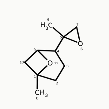 CC12CCC(C3(C)CO3)C(C1)O2